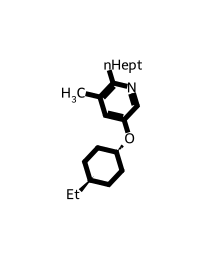 CCCCCCCc1ncc(O[C@H]2CC[C@H](CC)CC2)cc1C